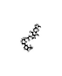 Cc1noc(Cn2c(=O)c3c(ncn3CC(=O)Nc3cncc(-c4cnc(C)c(C(F)(F)F)c4)n3)n(C)c2=O)n1